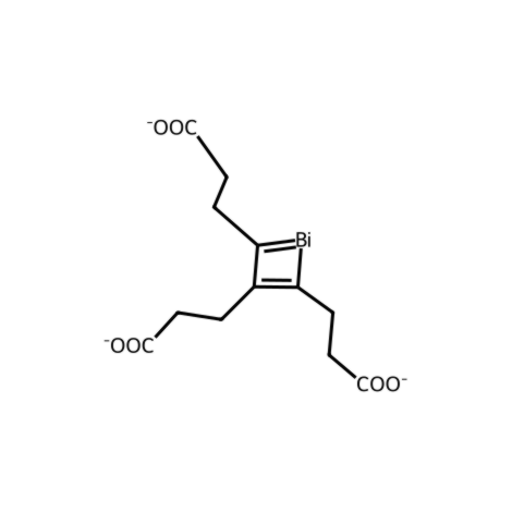 O=C([O-])CC[C]1=[Bi][C](CCC(=O)[O-])=C1CCC(=O)[O-]